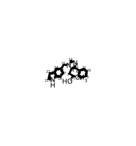 CC(O)Cc1c(-c2ccccc2)ncn1Cc1ccc2[nH]ccc2c1